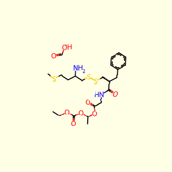 CCOC(=O)OC(C)OC(=O)CNC(=O)C(CSSCC(N)CCSC)Cc1ccccc1.O=CO